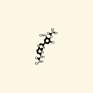 CCNC(=O)Nc1ccc2ncc(-c3cc(Cl)c(OC(=O)N(CC)CC)c(OC)c3)nc2n1